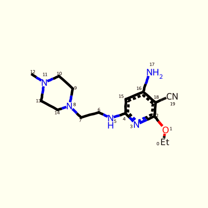 CCOc1nc(NCCN2CCN(C)CC2)cc(N)c1C#N